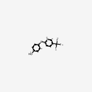 Oc1ccc(Sc2ccc(C(F)(F)F)cn2)cc1